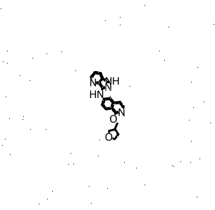 c1cnc2c(Nc3ccc4c(OCC5CCOC5)nccc4c3)n[nH]c2c1